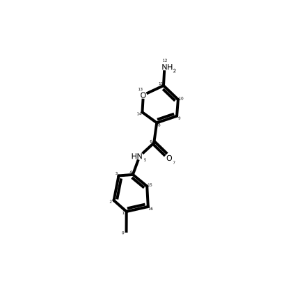 Cc1ccc(NC(=O)C2=CC=C(N)OC2)cc1